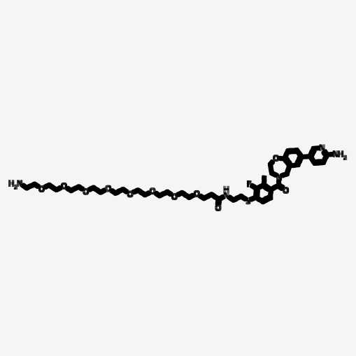 Cc1c(C(=O)N2CCOc3ccc(-c4ccc(N)nc4)cc3C2)ccc(SCCNC(=O)CCOCCOCCOCCOCCOCCOCCOCCOCCN)c1F